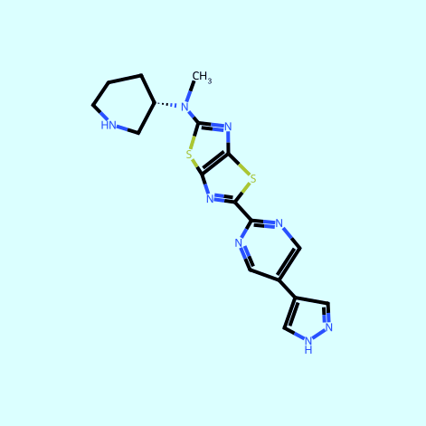 CN(c1nc2sc(-c3ncc(-c4cn[nH]c4)cn3)nc2s1)[C@H]1CCCNC1